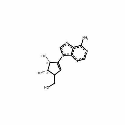 Nc1ncnc2c1ncn2C1=CC(CO)[C@H](O)[C@@H]1O